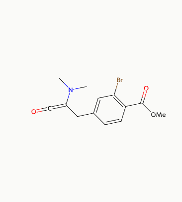 COC(=O)c1ccc(CC(=C=O)N(C)C)cc1Br